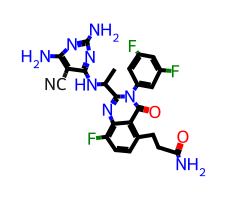 CC(Nc1nc(N)nc(N)c1C#N)c1nc2c(F)ccc(CCC(N)=O)c2c(=O)n1-c1cc(F)cc(F)c1